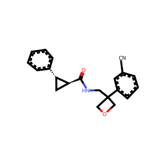 N#Cc1cccc(C2(CNC(=O)[C@H]3C[C@@H]3c3ccccc3)COC2)c1